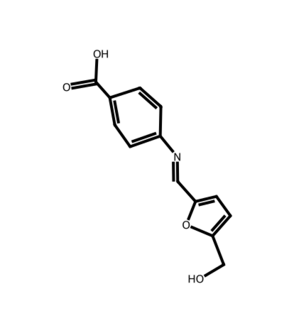 O=C(O)c1ccc(N=Cc2ccc(CO)o2)cc1